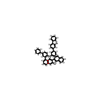 c1ccc(-c2ccc(N(c3cccc(-c4ccc5c(c4)sc4ccccc45)c3)c3cccc4oc5c6ccccc6ccc5c34)c(-c3ccccc3)c2)cc1